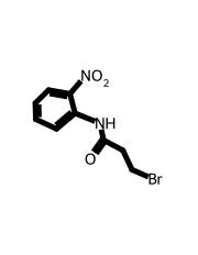 O=C(CCBr)Nc1ccccc1[N+](=O)[O-]